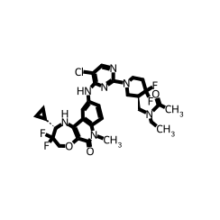 CCN(C[C@H]1CN(c2ncc(Cl)c(Nc3ccc4c(c3)c3c(c(=O)n4C)OCC(F)(F)[C@H](C4CC4)N3)n2)CCC1(F)F)C(C)=O